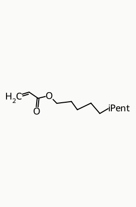 C=CC(=O)OCCCCCC(C)CCC